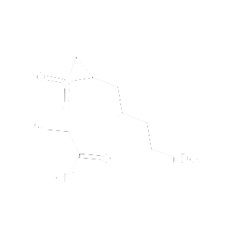 CC(C)CC(=O)Cl.CCCCCCCCCCCCCCC1CS1(=O)=O